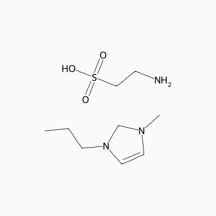 CCCN1C=CN(C)C1.NCCS(=O)(=O)O